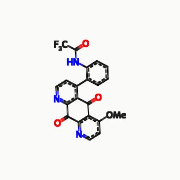 COc1ccnc2c1C(=O)c1c(-c3ccccc3NC(=O)C(F)(F)F)ccnc1C2=O